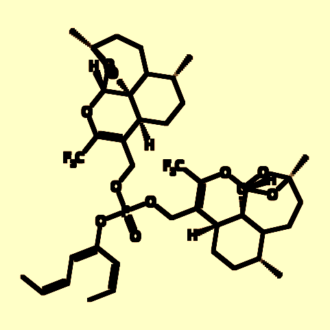 C\C=C/C=C(\C=C/C)OP(=O)(OCC1=C(C(F)(F)F)O[C@@H]2O[C@]3(C)CCC4[C@H](C)CC[C@@H]1[C@]42OO3)OCC1=C(C(F)(F)F)O[C@@H]2O[C@]3(C)CCC4[C@H](C)CC[C@@H]1[C@]42OO3